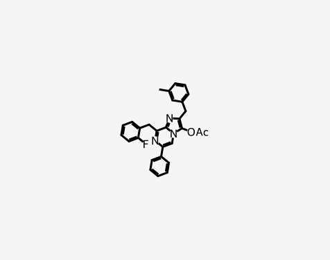 CC(=O)Oc1c(Cc2cccc(C)c2)nc2c(Cc3ccccc3F)nc(-c3ccccc3)cn12